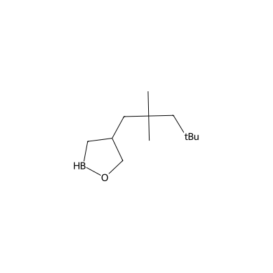 CC(C)(C)CC(C)(C)CC1CBOC1